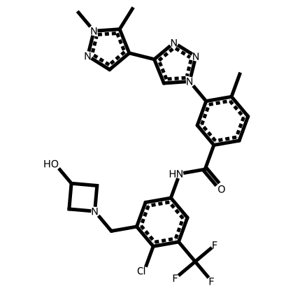 Cc1ccc(C(=O)Nc2cc(CN3CC(O)C3)c(Cl)c(C(F)(F)F)c2)cc1-n1cc(-c2cnn(C)c2C)nn1